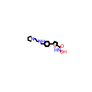 O=C(NO)c1ccc(-c2ccc(CNCCN3CCCC3)cc2)s1